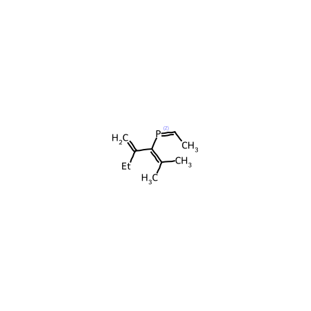 C=C(CC)C(/P=C\C)=C(C)C